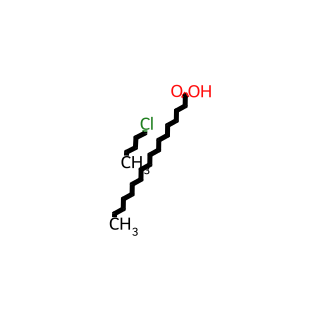 CCCCCCCCCCCCCCCCCC(=O)O.CCCCCCl